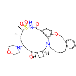 C[C@@H]1[C@@H](C)CC(N2CCOCC2)CC(=O)[C@@H]2CC[C@H]2CN2CCCCc3cc(Cl)ccc3COc3ccc(cc32)C(=O)NS1(=O)=O